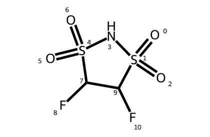 O=S1(=O)NS(=O)(=O)C(F)C1F